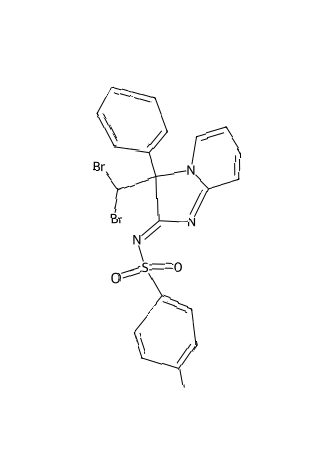 Cc1ccc(S(=O)(=O)/N=C2\N=C3C=CC=CN3C2(c2ccccc2)C(Br)Br)cc1